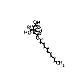 CCCCCCCCCCCOC(=O)CC(O)(CC(=O)O)C(=O)O